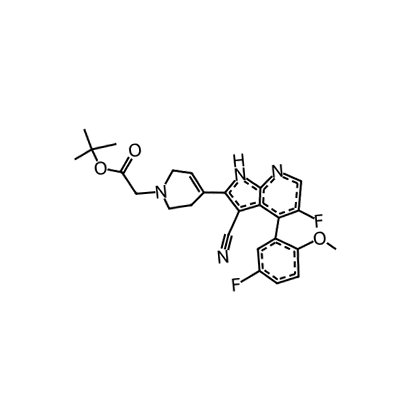 COc1ccc(F)cc1-c1c(F)cnc2[nH]c(C3=CCN(CC(=O)OC(C)(C)C)CC3)c(C#N)c12